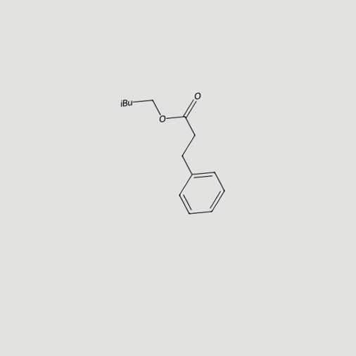 CCC(C)COC(=O)CCc1ccccc1